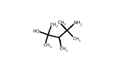 CC(C(C)(C)N)C(C)(C)O